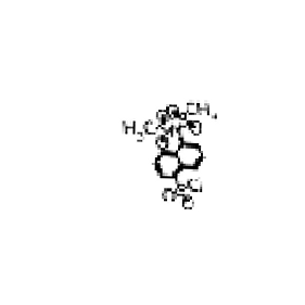 CS(=O)(=O)N(c1cccc2c(S(=O)(=O)Cl)cccc12)S(C)(=O)=O